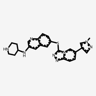 Cn1cc(-c2ccc3nnc(Sc4ccc5ncc(NC6CCNCC6)cc5c4)n3c2)cn1